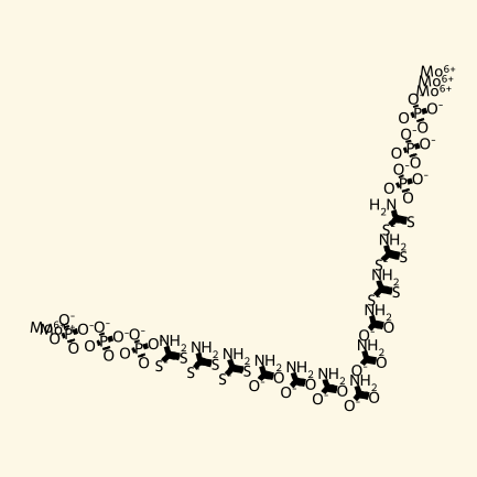 NC(=O)[O-].NC(=O)[O-].NC(=O)[O-].NC(=O)[O-].NC(=O)[O-].NC(=O)[O-].NC(=S)[S-].NC(=S)[S-].NC(=S)[S-].NC(=S)[S-].NC(=S)[S-].NC(=S)[S-].O=P([O-])([O-])[O-].O=P([O-])([O-])[O-].O=P([O-])([O-])[O-].O=P([O-])([O-])[O-].O=P([O-])([O-])[O-].O=P([O-])([O-])[O-].[Mo+6].[Mo+6].[Mo+6].[Mo+6].[Mo+6]